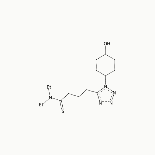 CCN(CC)C(=S)CCCc1nnnn1C1CCC(O)CC1